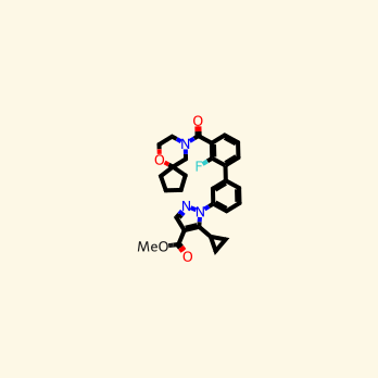 COC(=O)c1cnn(-c2cccc(-c3cccc(C(=O)N4CCOC5(CCCC5)C4)c3F)c2)c1C1CC1